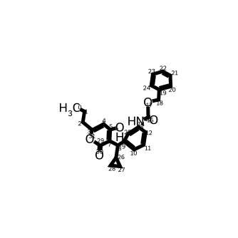 CCCc1cc(O)c(C(c2cccc(NC(=O)OCc3ccccc3)c2)C2CC2)c(=O)o1